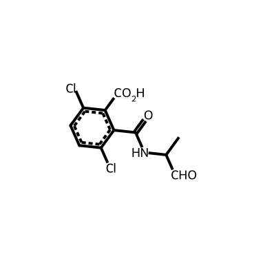 CC(C=O)NC(=O)c1c(Cl)ccc(Cl)c1C(=O)O